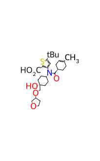 CC1=CC[C@H](C(=O)N(c2cc(C(C)(C)C)sc2C(=O)O)[C@H]2CC[C@](O)(CO[C@H]3CCOC3)CC2)CC1